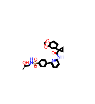 C[C@@H](O)CNS(=O)(=O)c1ccc(-c2cccc(NC(=O)C3(c4ccc5c(c4)OCO5)CC3)n2)cc1